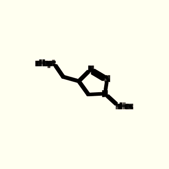 CCCCCCCCC1CN(CCCCCC)N=N1